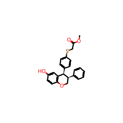 COC(=O)CSc1ccc([C@@H]2c3cc(O)ccc3OC[C@@H]2c2ccccc2)cc1